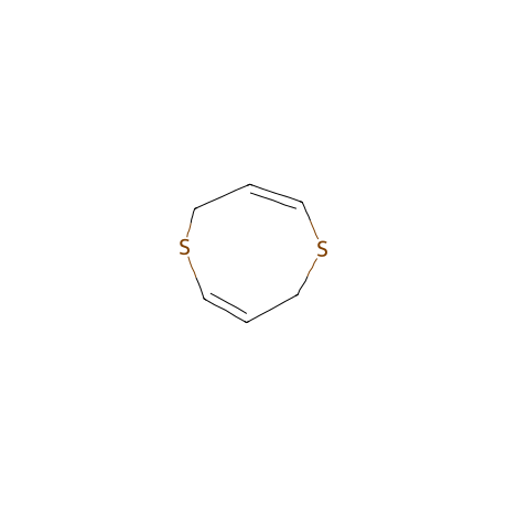 C1=C\SC/C=C\SC/1